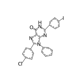 O=c1[nH]c(-c2ccc(I)cc2)nc2c1nc(-c1ccc(Cl)cc1)n2-c1ccccc1